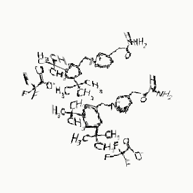 CC(C)(C)c1cc(C[n+]2cccc(CC(=O)NN)c2)cc(C(C)(C)C)c1.CC(C)(C)c1cc(C[n+]2cccc(CC(=O)NN)c2)cc(C(C)(C)C)c1.O=C([O-])C(F)(F)F.O=C([O-])C(F)(F)F